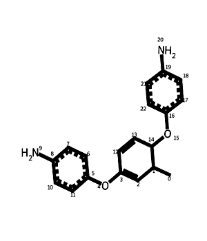 CC1C=C(Oc2ccc(N)cc2)C=CC1Oc1ccc(N)cc1